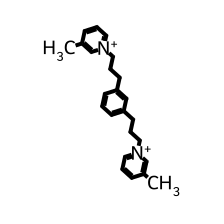 Cc1ccc[n+](CCCc2cccc(CCC[n+]3cccc(C)c3)c2)c1